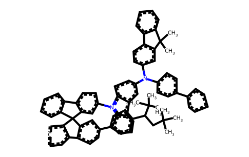 CC(C)(C)CC(c1ccc(-c2ccc3c(c2)C2(c4ccccc4-3)c3ccccc3-c3ccc(-n4c5ccccc5c5cc(N(c6ccc(-c7ccccc7)cc6)c6ccc7c(c6)C(C)(C)c6ccccc6-7)ccc54)cc32)cc1)C(C)(C)C